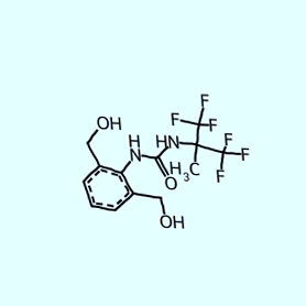 CC(NC(=O)Nc1c(CO)cccc1CO)(C(F)(F)F)C(F)(F)F